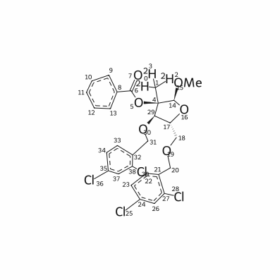 [2H]C([2H])([2H])[C@]1(OC(=O)c2ccccc2)[C@@H](OC)O[C@H](COCc2ccc(Cl)cc2Cl)[C@H]1OCc1ccc(Cl)cc1Cl